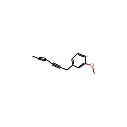 CC#CC#CCc1cc[c]c(OC)c1